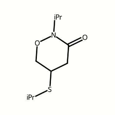 CC(C)SC1CON(C(C)C)C(=O)C1